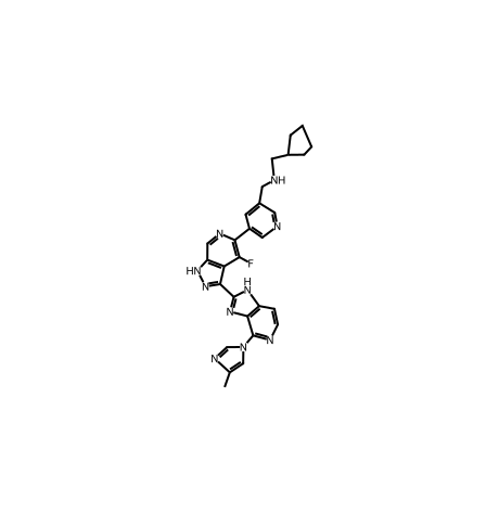 Cc1cn(-c2nccc3[nH]c(-c4n[nH]c5cnc(-c6cncc(CNCC7CCCC7)c6)c(F)c45)nc23)cn1